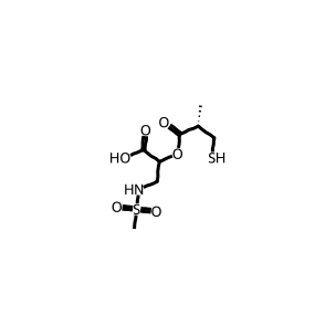 C[C@H](CS)C(=O)OC(CNS(C)(=O)=O)C(=O)O